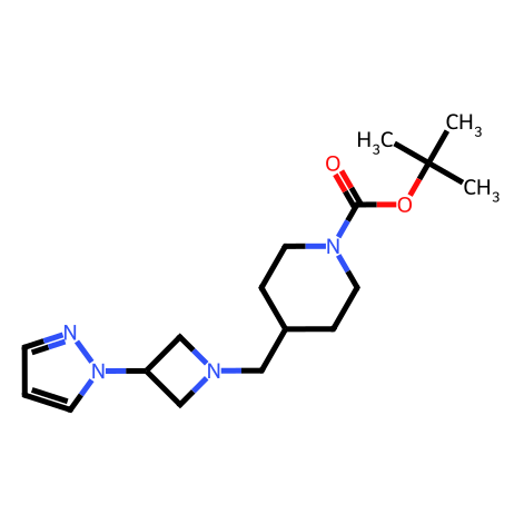 CC(C)(C)OC(=O)N1CCC(CN2CC(n3cccn3)C2)CC1